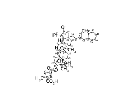 CC(C)C1=C2[C@H]3CC[C@@H]4[C@@]5(C)CC[C@H](OC(=O)CC(C)(C)C(=O)O)C(C)(C)C5(S)CC[C@@]4(C)[C@]3(C)CC[C@@]2(CCNCc2ccccc2Cl)CC1=O